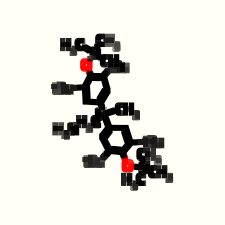 CC(C)(C)c1cc([Si](C)(C)c2cc(C(C)(C)C)c(O[Si](C)(C)C)c(C(C)(C)C)c2)cc(C(C)(C)C)c1O[Si](C)(C)C.[SiH4]